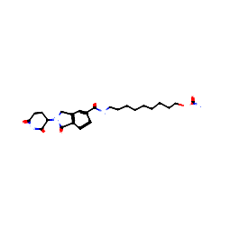 NC(=O)OCCCCCCCCCNC(=O)c1ccc2c(c1)CN(C1CCC(=O)NC1=O)C2=O